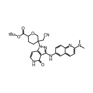 CN(C)c1ccc2cc(Nc3nn(C4(CC#N)CCC(C(=O)OC(C)(C)C)OC4)c4cc[nH]c(=O)c34)ccc2n1